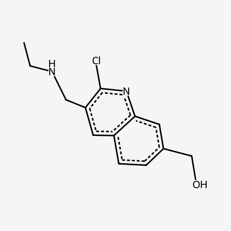 CCNCc1cc2ccc(CO)cc2nc1Cl